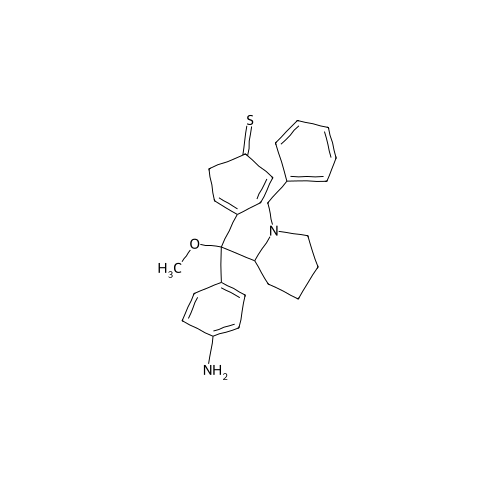 COC(C1=CCC(=S)C=C1)(c1ccc(N)cc1)C1CCCCN1Cc1ccccc1